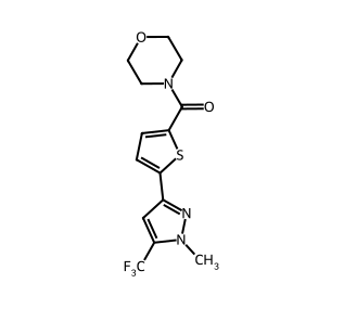 Cn1nc(-c2ccc(C(=O)N3CCOCC3)s2)cc1C(F)(F)F